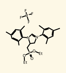 CCOP(=O)(CC1C[N+](c2c(C)cc(C)cc2C)=CN1c1c(C)cc(C)cc1C)OCC.F[B-](F)(F)F